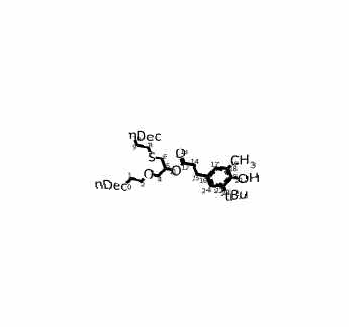 CCCCCCCCCCCCOCC(CSCCCCCCCCCCCC)OC(=O)CCc1cc(C)c(O)c(C(C)(C)C)c1